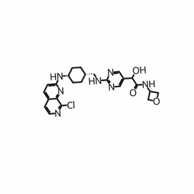 O=C(NC1COC1)C(O)c1cnc(NC[C@H]2CC[C@H](Nc3ccc4ccnc(Cl)c4n3)CC2)nc1